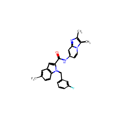 Cc1nc2cc(NC(=O)c3cc4cc(C(F)(F)F)ccc4n3Cc3cccc(F)c3)ccn2c1C